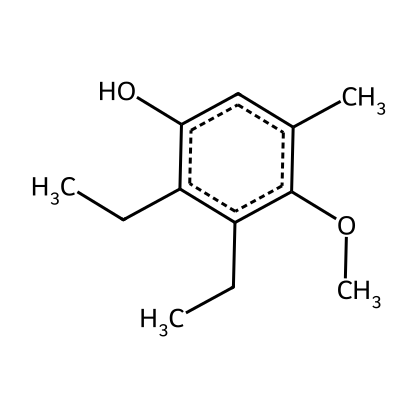 CCc1c(O)cc(C)c(OC)c1CC